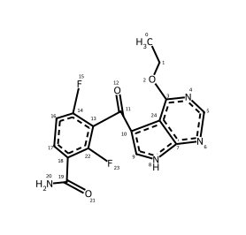 CCOc1ncnc2[nH]cc(C(=O)c3c(F)ccc(C(N)=O)c3F)c12